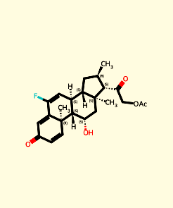 CC(=O)OCC(=O)[C@H]1[C@H](C)C[C@H]2[C@@H]3C=C(F)C4=CC(=O)C=C[C@]4(C)[C@H]3[C@@H](O)C[C@@]21C